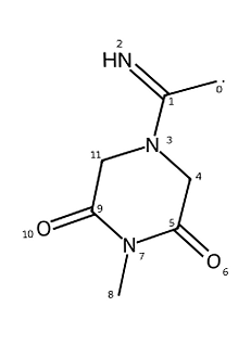 [CH2]C(=N)N1CC(=O)N(C)C(=O)C1